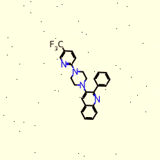 FC(F)(F)c1ccc(N2CCN(c3cc4ccccc4nc3-c3ccccc3)CC2)nc1